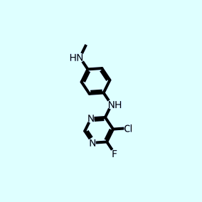 CNc1ccc(Nc2ncnc(F)c2Cl)cc1